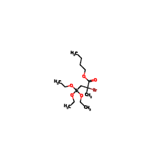 CCCCOC(=O)C(C)(Br)C[Si](OCC)(OCC)OCC